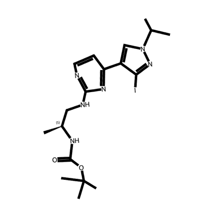 CC(C)n1cc(-c2ccnc(NC[C@H](C)NC(=O)OC(C)(C)C)n2)c(I)n1